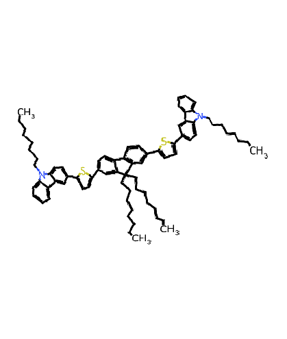 CCCCCCCCn1c2ccccc2c2cc(-c3ccc(-c4ccc5c(c4)C(CCCCCCCC)(CCCCCCCC)c4cc(-c6ccc(-c7ccc8c(c7)c7ccccc7n8CCCCCCCC)s6)ccc4-5)s3)ccc21